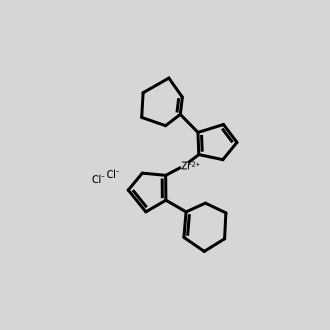 C1=CC(C2=CCCCC2)=[C]([Zr+2][C]2=C(C3=CCCCC3)C=CC2)C1.[Cl-].[Cl-]